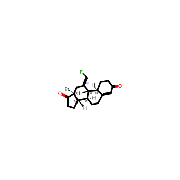 CC[C@]12C/C(=C\F)[C@H]3[C@@H](CCC4=CC(=O)CC[C@@H]43)[C@@H]1CCC2=O